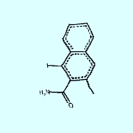 Cc1cc2ccccc2c(I)c1C(N)=O